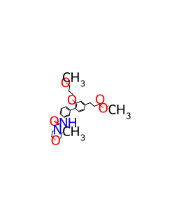 CCOC(=O)CCc1ccc(-c2cccc(NC(=O)N3CCOCC3C)c2)c(OCCCOC)c1